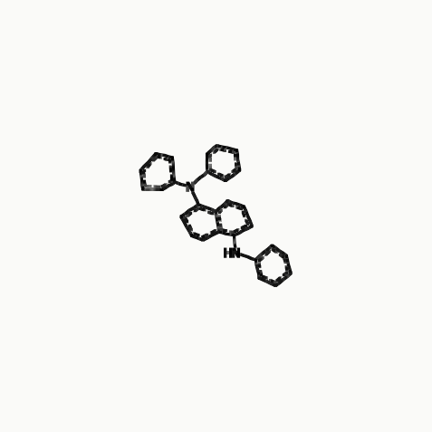 c1ccc(Nc2cccc3c(N(c4ccccc4)c4ccccc4)cccc23)cc1